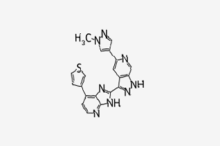 Cn1cc(-c2cc3c(-c4nc5c(-c6ccsc6)ccnc5[nH]4)n[nH]c3cn2)cn1